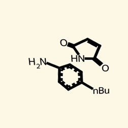 CCCCc1ccc(N)cc1.O=C1C=CC(=O)N1